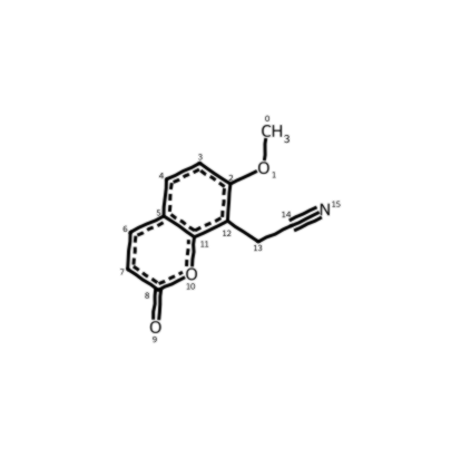 COc1ccc2ccc(=O)oc2c1CC#N